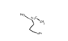 CC.CCCCCO